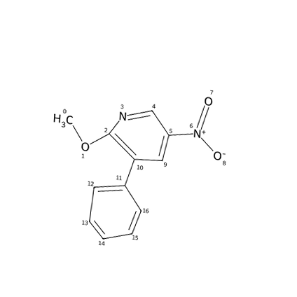 COc1ncc([N+](=O)[O-])cc1-c1ccccc1